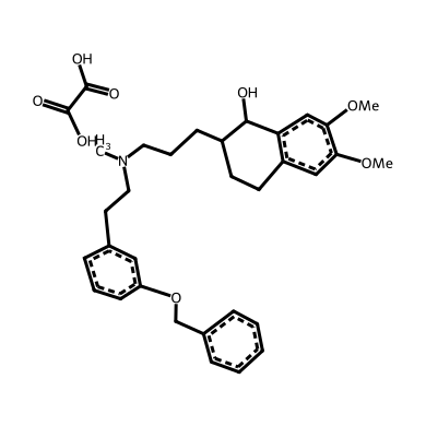 COc1cc2c(cc1OC)C(O)C(CCCN(C)CCc1cccc(OCc3ccccc3)c1)CC2.O=C(O)C(=O)O